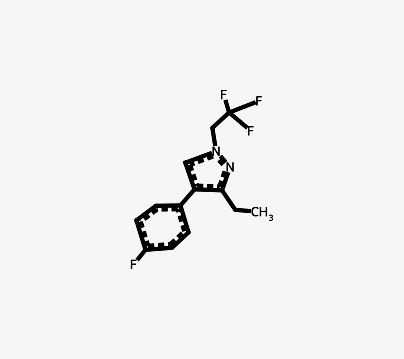 CCc1nn(CC(F)(F)F)cc1-c1ccc(F)cc1